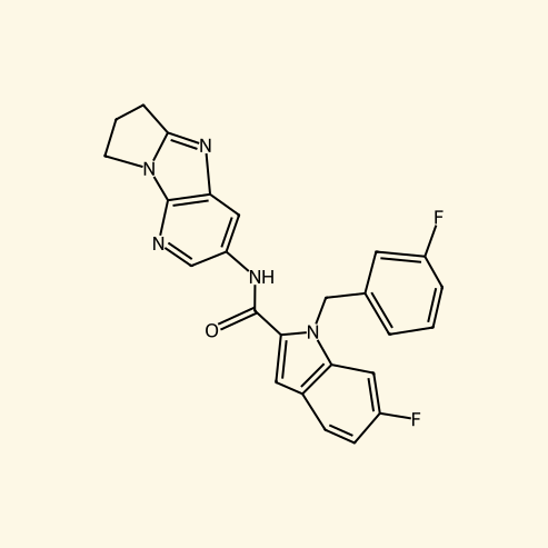 O=C(Nc1cnc2c(c1)nc1n2CCC1)c1cc2ccc(F)cc2n1Cc1cccc(F)c1